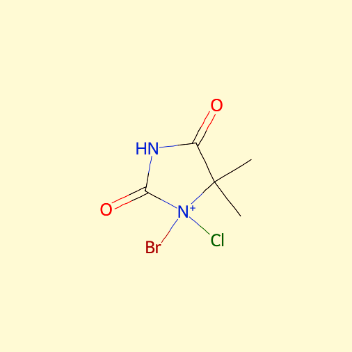 CC1(C)C(=O)NC(=O)[N+]1(Cl)Br